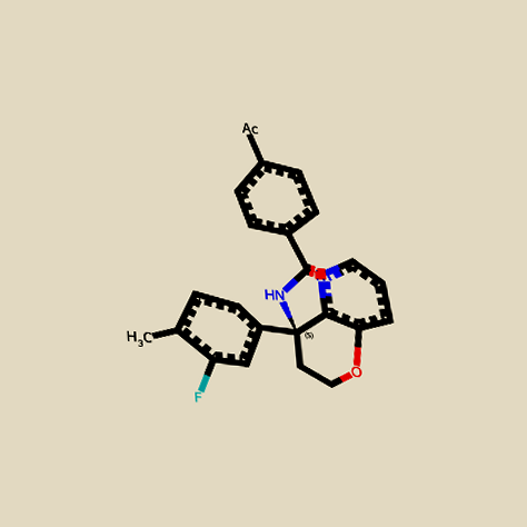 CC(=O)c1ccc(C(=O)N[C@]2(c3ccc(C)c(F)c3)CCOc3cccnc32)cc1